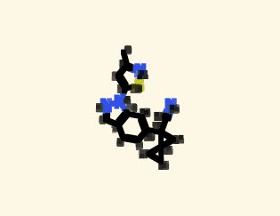 Cc1cc(-n2ncc3ccc(C4(C#N)CC45CC5)cc32)sn1